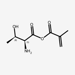 C=C(C)C(=O)OC(=O)[C@@H](N)[C@@H](C)O